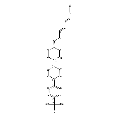 N#CC=CC=CCC[C@H]1CC[C@H]([C@H]2CC[C@H](c3ccc(C(F)(F)F)cc3)CC2)CC1